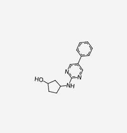 OC1CCC(Nc2ncc(-c3ccccc3)cn2)C1